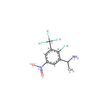 CC(N)c1cc([N+](=O)[O-])cc(C(F)(F)F)c1F